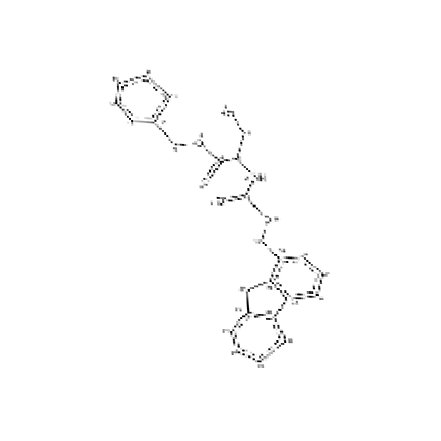 O=C(NC(CO)C(=O)OCc1ccccc1)OCc1cccc2c1Cc1ccccc1-2